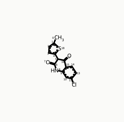 Cc1ccc(C2C(=O)Nc3cc(Cl)ccc3C2=O)s1